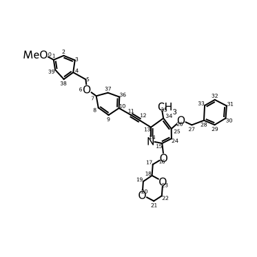 COc1ccc(COC2C=CC(C#Cc3nc(OCC4COCCO4)cc(OCc4ccccc4)c3C)=CC2)cc1